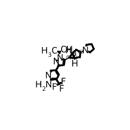 CC(C)n1nc(-c2cnc(N)c(C(F)(F)F)c2)cc1[C@H]1[C@@H]2C[C@@H](N3CCCC3)C[C@@H]21